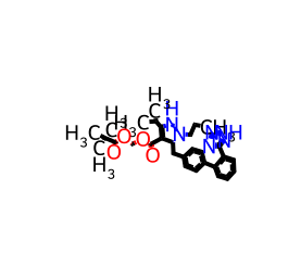 CCCN1NC(C(C)C)=C(C(=O)OCOC(=O)C(C)(C)C)C1Cc1ccc(-c2ccccc2-c2nn[nH]n2)cc1